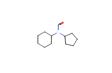 O=CN(C1CCCCC1)C1CCCC1